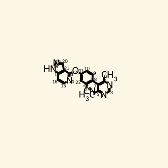 Cc1ncnc(C)c1-c1ccc(Oc2nccc3[nH]ncc23)cc1C#N